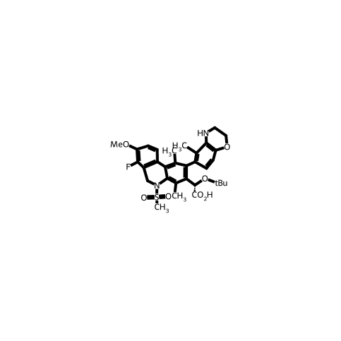 COc1ccc2c(c1F)CN(S(C)(=O)=O)c1c(C)c([C@H](OC(C)(C)C)C(=O)O)c(-c3ccc4c(c3C)NCCO4)c(C)c1-2